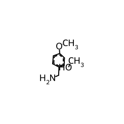 CO.COc1ccc(CN)cc1